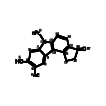 CCCn1c2cc(O)c(C(C)=O)cc2c2c3c(ccc21)C(=O)CC3